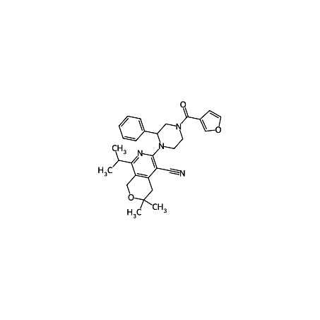 CC(C)c1nc(N2CCN(C(=O)c3ccoc3)CC2c2ccccc2)c(C#N)c2c1COC(C)(C)C2